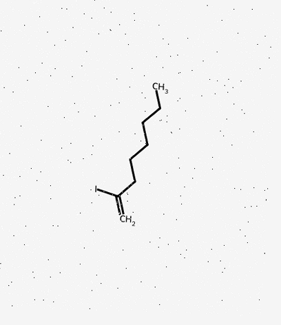 C=C(I)CCCCCC